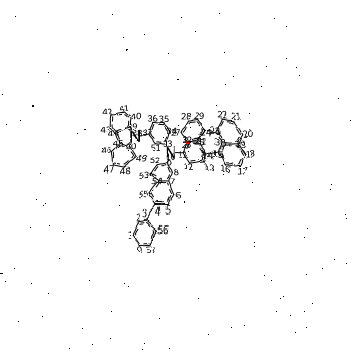 c1ccc(-c2ccc3cc(N(c4ccc(-c5cccc6cccc(-c7ccccc7)c56)cc4)c4cccc(-n5c6ccccc6c6ccccc65)c4)ccc3c2)cc1